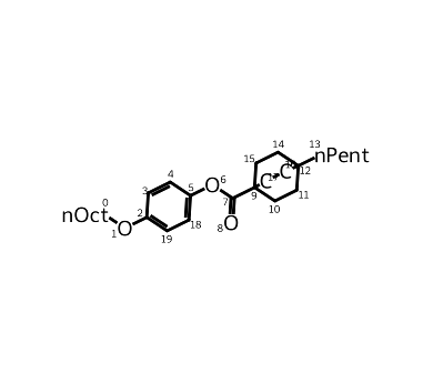 CCCCCCCCOc1ccc(OC(=O)C23CCC(CCCCC)(CC2)CC3)cc1